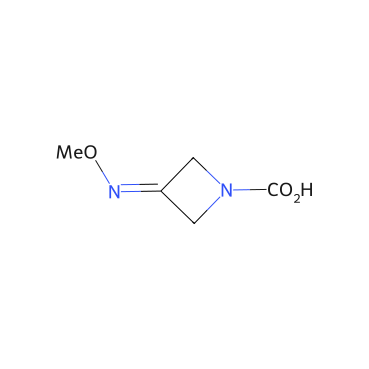 CON=C1CN(C(=O)O)C1